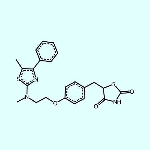 Cc1sc(N(C)CCOc2ccc(CC3SC(=O)NC3=O)cc2)nc1-c1ccccc1